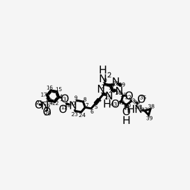 Nc1nc(C#CCC2CCN(C(=O)Oc3cccc([N+](=O)[O-])c3)CC2)nc2c1ncn2[C@@H]1O[C@H](C(=O)NC2CC2)C(O)C1O